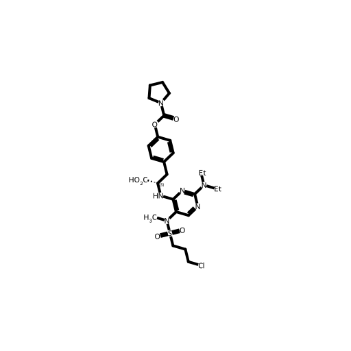 CCN(CC)c1ncc(N(C)S(=O)(=O)CCCCl)c(N[C@@H](Cc2ccc(OC(=O)N3CCCC3)cc2)C(=O)O)n1